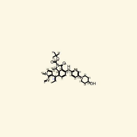 C=Nc1c(/C(=C\C)c2ccc(Nc3ccc(N4CCC(O)CC4)cn3)c3c2C(C)N(C(=O)OC(C)(C)C)C3=O)ccn1C